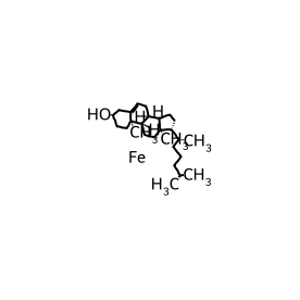 CC(C)CCC[C@@H](C)[C@H]1CC[C@H]2[C@@H]3CC=C4C[C@@H](O)CC[C@]4(C)[C@H]3CC[C@]12C.[Fe]